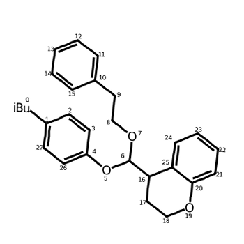 CCC(C)c1ccc(OC(OCCc2ccccc2)C2CCOc3ccccc32)cc1